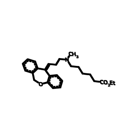 CCOC(=O)CCCCCN(C)CC/C=C1/c2ccccc2COc2ccccc21